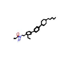 C=CC(=O)NCCc1ccc(-c2ccc(C3CCC(CCCCC)CC3)cc2)cc1CC